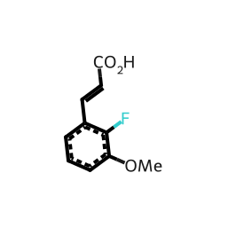 COc1cccc(C=CC(=O)O)c1F